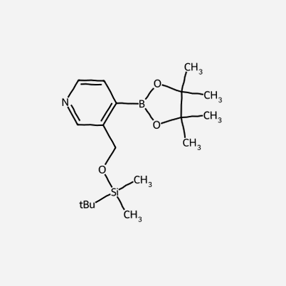 CC1(C)OB(c2ccncc2CO[Si](C)(C)C(C)(C)C)OC1(C)C